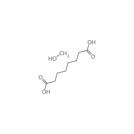 CO.O=C(O)CCCCCCC(=O)O